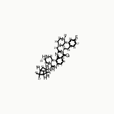 C[C@H]1[C@@H](NC(=Nc2ccc3c(=O)n(CCc4ccc(F)cc4)c(CN4CCN(C)CC4)nc3c2)N2CCN[C@@H](C)C2)C[C@@H]2C[C@@H]1C2(C)C